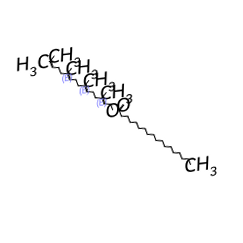 CCCCCCCCCCCCCCCCCC(=O)OC/C=C(\C)CC/C=C(\C)CC/C=C(\C)CCC=C(C)C